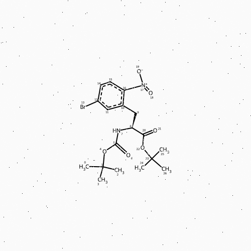 CC(C)(C)OC(=O)N[C@@H](Cc1cc(Br)ccc1[N+](=O)[O-])C(=O)OC(C)(C)C